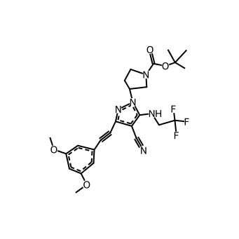 COc1cc(C#Cc2nn(C3CCN(C(=O)OC(C)(C)C)C3)c(NCC(F)(F)F)c2C#N)cc(OC)c1